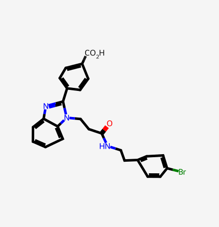 O=C(CCn1c(-c2ccc(C(=O)O)cc2)nc2ccccc21)NCCc1ccc(Br)cc1